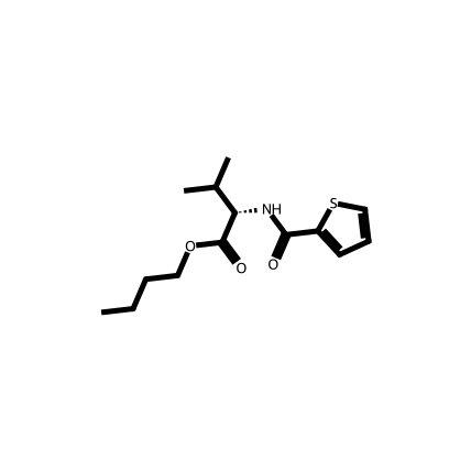 CCCCOC(=O)[C@@H](NC(=O)c1cccs1)C(C)C